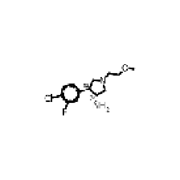 COCCN1C[C@H](c2ccc(Cl)c(F)c2)[C@@H](N)C1